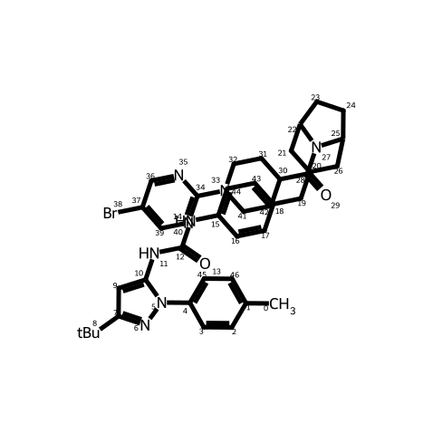 Cc1ccc(-n2nc(C(C)(C)C)cc2NC(=O)Nc2ccc(CC3CC4CCC(C3)N4C(=O)C3CCN(c4ncc(Br)cn4)CC3)cc2)cc1